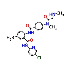 Bc1ccc(NC(=O)c2ccc(N(C)C(=O)CNC)cc2)c(C(=O)Nc2ccc(Cl)cn2)c1